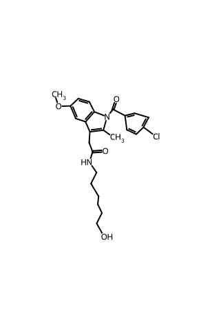 COc1ccc2c(c1)c(CC(=O)NCCCCCCO)c(C)n2C(=O)c1ccc(Cl)cc1